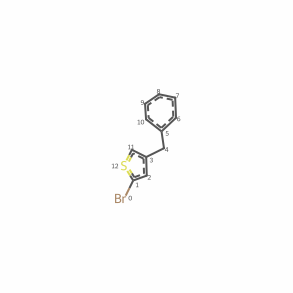 Brc1cc(Cc2ccccc2)cs1